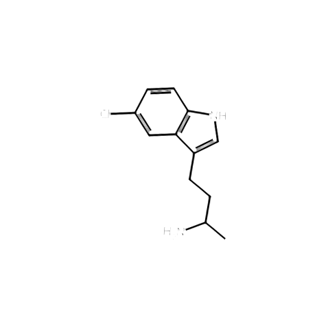 CC(N)CCc1c[nH]c2ccc(Cl)cc12